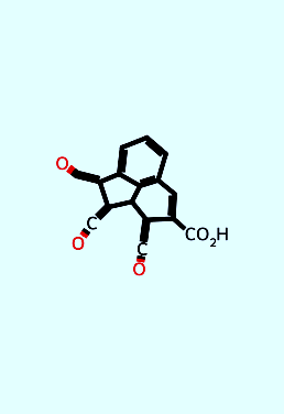 O=C=C1C(=C=O)C2C(=C=O)C(C(=O)O)=Cc3cccc1c32